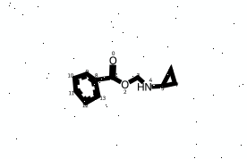 O=C(OCNC1CC1)c1ccccc1